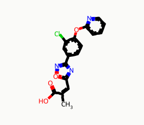 CC(=Cc1nc(-c2ccc(Oc3ccccn3)c(Cl)c2)no1)C(=O)O